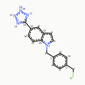 FCc1ccc(Cn2ccc3cc(-c4nn[nH]n4)ccc32)cc1